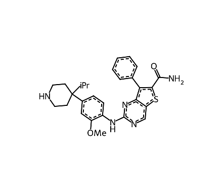 COc1cc(C2(C(C)C)CCNCC2)ccc1Nc1ncc2sc(C(N)=O)c(-c3ccccc3)c2n1